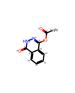 CCCC(=O)Oc1n[nH]c(=O)c2ccccc12